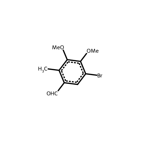 COc1c(Br)cc(C=O)c(C)c1OC